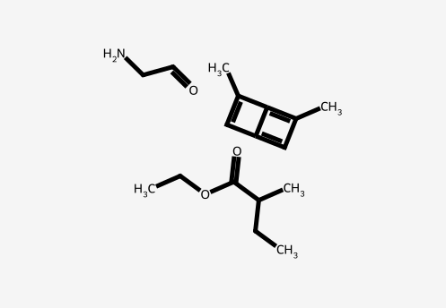 CCOC(=O)C(C)CC.Cc1cc2cc(C)c1-2.NCC=O